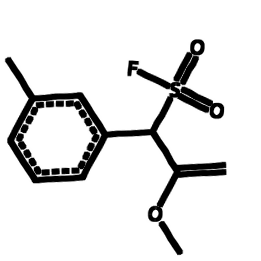 C=C(OC)C(c1cccc(C)c1)S(=O)(=O)F